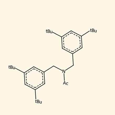 CC(=O)N(Cc1cc(C(C)(C)C)cc(C(C)(C)C)c1)Cc1cc(C(C)(C)C)cc(C(C)(C)C)c1